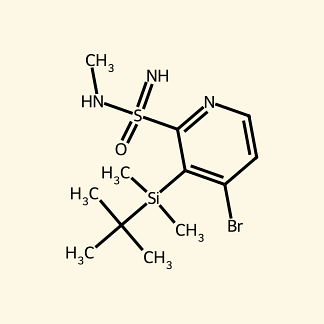 CNS(=N)(=O)c1nccc(Br)c1[Si](C)(C)C(C)(C)C